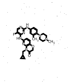 Cc1cc(Nc2ncc(F)c(Nc3ccc4c(n3)N(CC3CC3)C(=O)CO4)n2)ccc1N1CCN(C)CC1